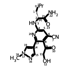 CC(C)C[C@@H](Nc1cc(C#N)c(C(=O)CO)c(-c2cnn(C)c2)n1)C(N)=O